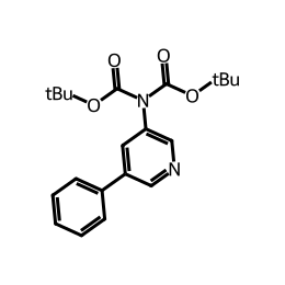 CC(C)(C)OC(=O)N(C(=O)OC(C)(C)C)c1cncc(-c2ccccc2)c1